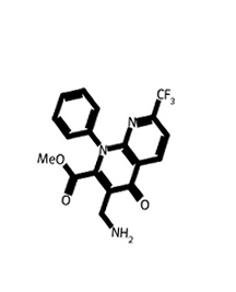 COC(=O)c1c(CN)c(=O)c2ccc(C(F)(F)F)nc2n1-c1ccccc1